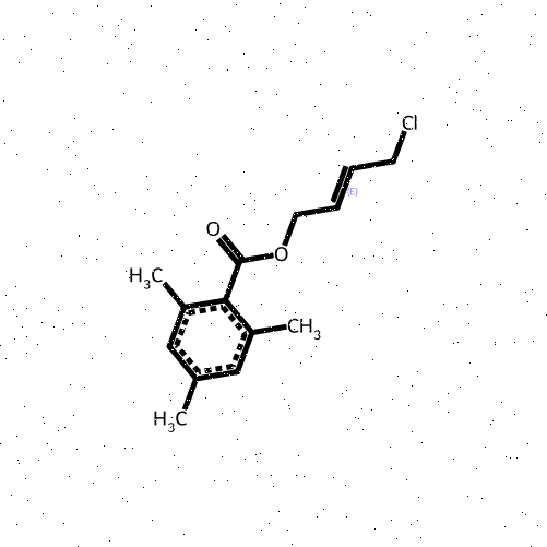 Cc1cc(C)c(C(=O)OC/C=C/CCl)c(C)c1